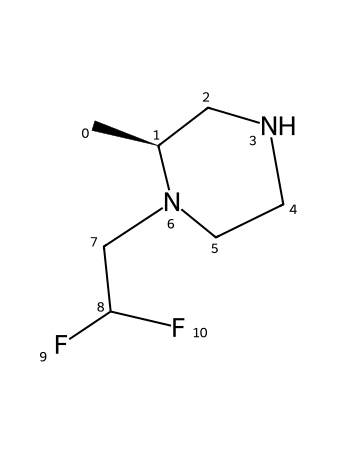 C[C@H]1CNCCN1CC(F)F